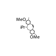 COc1cc2c(cc1C)C#Cc1cc(C)c(OC)cc1C(C(C)C)C2